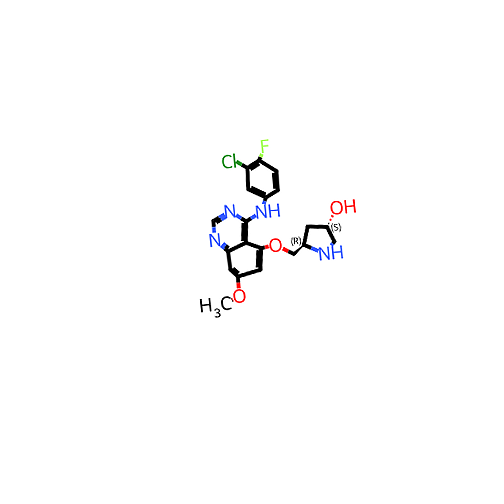 COc1cc(OC[C@H]2C[C@H](O)CN2)c2c(Nc3ccc(F)c(Cl)c3)ncnc2c1